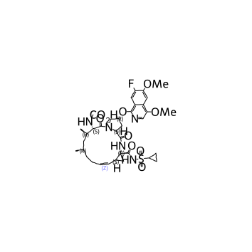 COc1cc2c(OC)cnc(O[C@@H]3C[C@H]4C(=O)N[C@]5(C(=O)NS(=O)(=O)C6CC6)C[C@H]5/C=C\CC[C@@H](C)C[C@@H](C)[C@H](NC(=O)O)C(=O)N4C3)c2cc1F